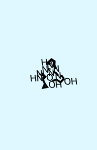 O=C(O)C1CC(O)CN1c1nc(Nc2cc(C3CC3)[nH]n2)n2cccc2n1